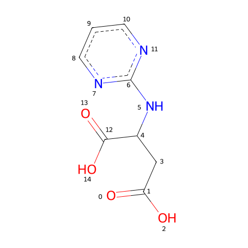 O=C(O)CC(Nc1ncccn1)C(=O)O